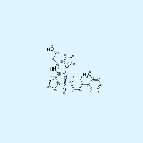 Cc1ccccc1-c1ccc(S(=O)(=O)N2CCSC2C(=O)NC(CCO)c2ccco2)cc1